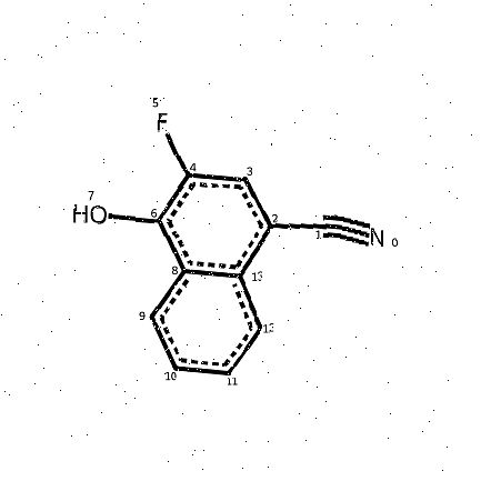 N#Cc1cc(F)c(O)c2ccccc12